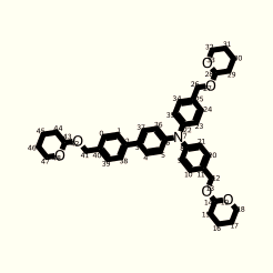 c1cc(-c2ccc(N(c3ccc(COC4CCCCO4)cc3)c3ccc(COC4CCCCO4)cc3)cc2)ccc1COC1CCCCO1